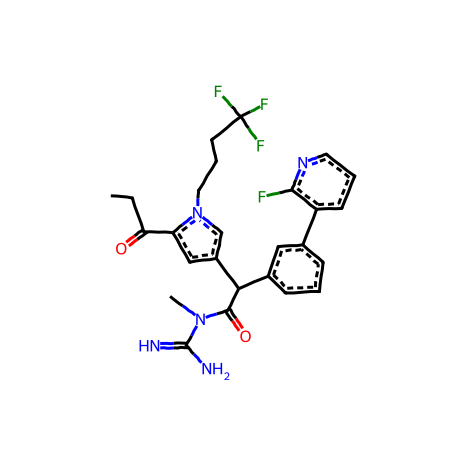 CCC(=O)c1cc(C(C(=O)N(C)C(=N)N)c2cccc(-c3cccnc3F)c2)cn1CCCC(F)(F)F